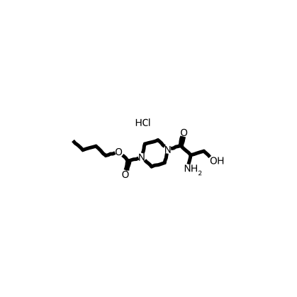 CCCCOC(=O)N1CCN(C(=O)C(N)CO)CC1.Cl